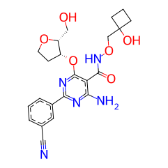 N#Cc1cccc(-c2nc(N)c(C(=O)NOCC3(O)CCC3)c(O[C@@H]3CCO[C@@H]3CO)n2)c1